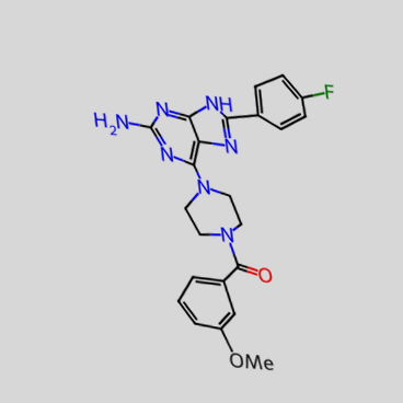 COc1cccc(C(=O)N2CCN(c3nc(N)nc4[nH]c(-c5ccc(F)cc5)nc34)CC2)c1